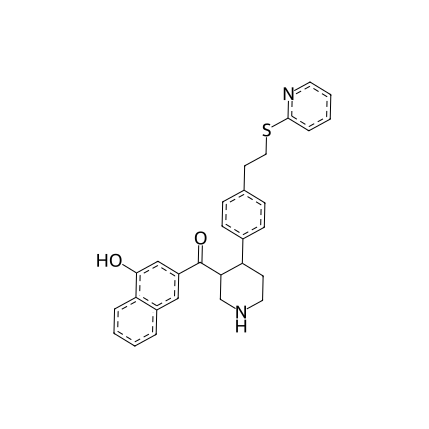 O=C(c1cc(O)c2ccccc2c1)C1CNCCC1c1ccc(CCSc2ccccn2)cc1